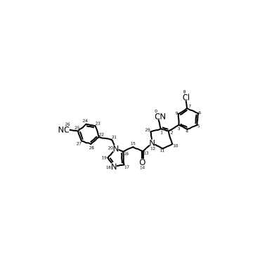 N#CC1=C(c2cccc(Cl)c2)CCN(C(=O)Cc2cncn2Cc2ccc(C#N)cc2)C1